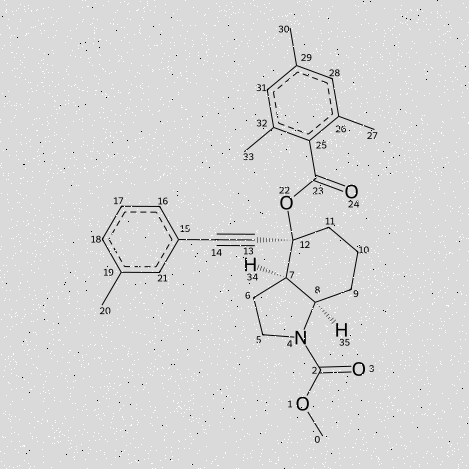 COC(=O)N1CC[C@@H]2[C@H]1CCC[C@]2(C#Cc1cccc(C)c1)OC(=O)c1c(C)cc(C)cc1C